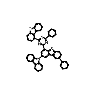 c1ccc(-c2ccc3sc4c(-c5nc(-c6ccccc6)nc(-c6cccc7oc8ccccc8c67)n5)cc(-n5c6ccccc6c6ccccc65)cc4c3c2)cc1